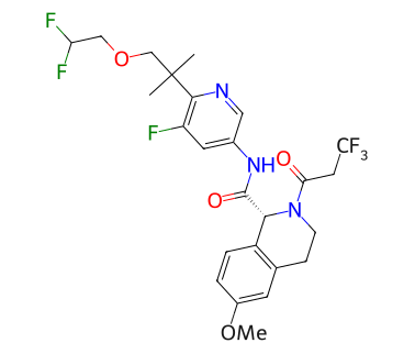 COc1ccc2c(c1)CCN(C(=O)CC(F)(F)F)[C@H]2C(=O)Nc1cnc(C(C)(C)COCC(F)F)c(F)c1